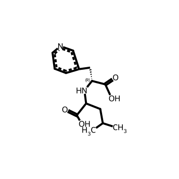 CC(C)CC(N[C@H](Cc1cccnc1)C(=O)O)C(=O)O